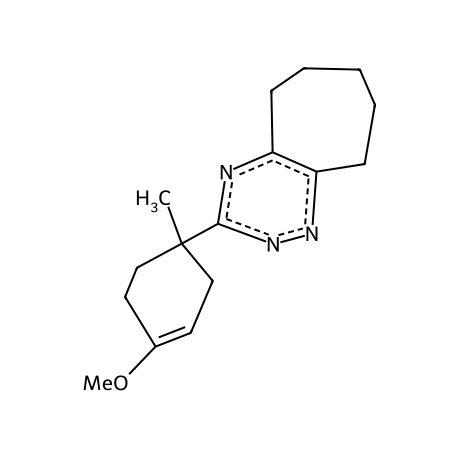 COC1=CCC(C)(c2nnc3c(n2)CCCCC3)CC1